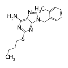 CCCCSc1nc(N)c2ncn(Cc3ccccc3C)c2n1